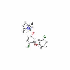 Fc1ccc(O[C@@H]2C[C@H]3CC[C@@H](C2)N3)cc1Oc1cccc(Cl)c1